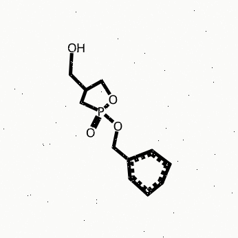 O=P1(OCc2ccccc2)CC(CO)CO1